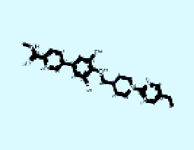 CCc1cnc(N2CCC(COc3c(F)cc(-c4ccc(C(=O)NC)nc4)cc3F)CC2)nc1